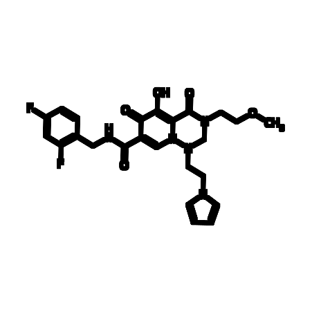 COCCN1CN(CCn2cccc2)n2cc(C(=O)NCc3ccc(F)cc3F)c(=O)c(O)c2C1=O